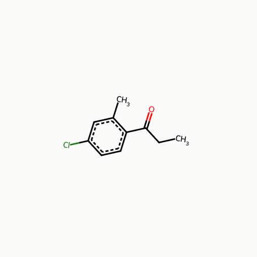 CCC(=O)c1ccc(Cl)cc1C